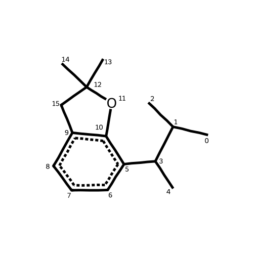 CC(C)C(C)c1cccc2c1OC(C)(C)C2